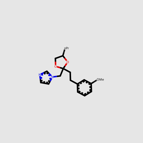 CCCC1COC(CCc2cccc(OC)c2)(Cn2ccnc2)O1